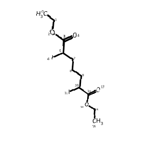 CCOC(=O)C(I)CCCC(I)C(=O)OCC